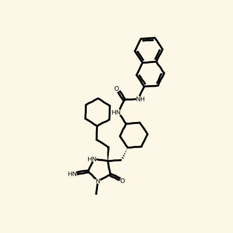 CN1C(=N)N[C@](CCC2CCCCC2)(C[C@H]2CCCC(NC(=O)Nc3ccc4ccccc4c3)C2)C1=O